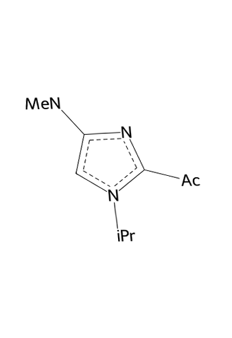 CNc1cn(C(C)C)c(C(C)=O)n1